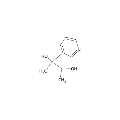 CC(O)C(C)(O)c1cccnc1